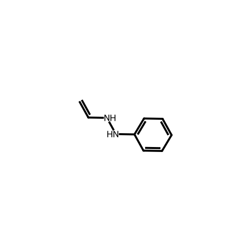 C=CNNc1ccccc1